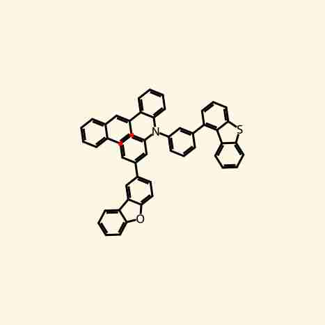 c1cc(-c2ccc3oc4ccccc4c3c2)cc(N(c2cccc(-c3cccc4sc5ccccc5c34)c2)c2ccccc2-c2ccc3ccccc3c2)c1